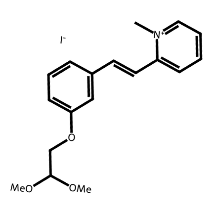 COC(COc1cccc(C=Cc2cccc[n+]2C)c1)OC.[I-]